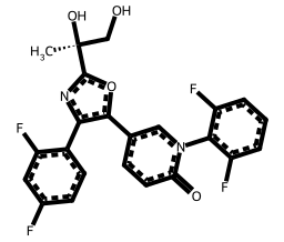 C[C@](O)(CO)c1nc(-c2ccc(F)cc2F)c(-c2ccc(=O)n(-c3c(F)cccc3F)c2)o1